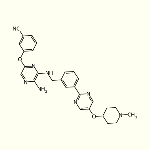 CN1CCC(Oc2cnc(-c3cccc(CNc4nc(Oc5cccc(C#N)c5)cnc4N)c3)nc2)CC1